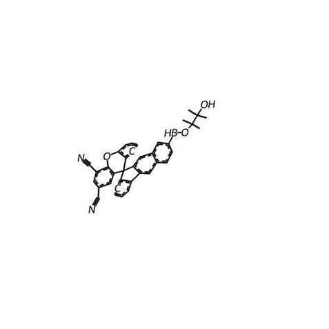 CC(C)(O)C(C)(C)OBc1ccc2cc3c(cc2c1)C1(c2ccccc2Oc2c(C#N)cc(C#N)cc21)c1ccccc1-3